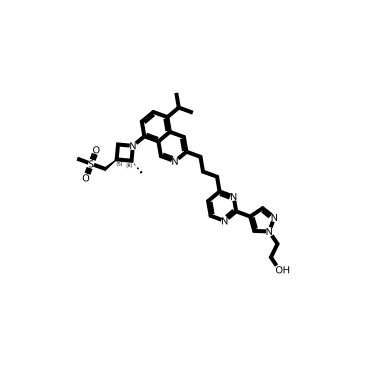 CC(C)c1ccc(N2C[C@H](CS(C)(=O)=O)[C@H]2C)c2cnc(CCCc3ccnc(-c4cnn(CCO)c4)n3)cc12